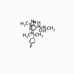 CCNC(=O)Nc1cc(N(C)[C@@H](C)C2C=CC(F)=CC2)nn2c(C)nnc12